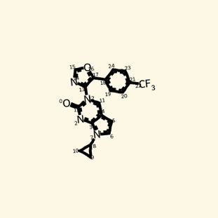 O=c1nc2c(ccn2C2CC2)cn1-c1ncoc1-c1ccc(C(F)(F)F)cc1